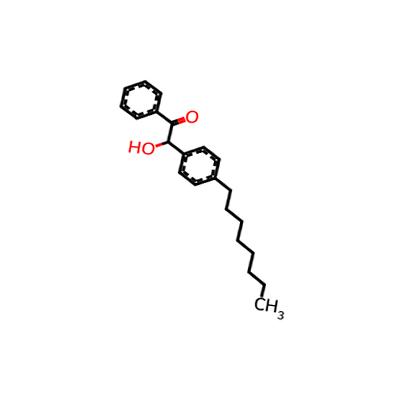 CCCCCCCCc1ccc(C(O)C(=O)c2ccccc2)cc1